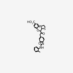 Cc1ccccc1Nc1nc2ccc(CC(=O)C(Oc3ccc(C(=O)O)cc3)C3NCCS3)cc2o1